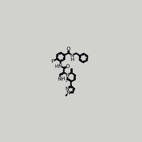 C=C1C=CC(c2ccn(C)n2)=CN1/C(=C\N)C(=O)Nc1cc(C(=O)NCc2ccccc2)ccc1F